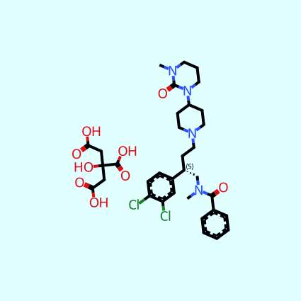 CN(C[C@@H](CCN1CCC(N2CCCN(C)C2=O)CC1)c1ccc(Cl)c(Cl)c1)C(=O)c1ccccc1.O=C(O)CC(O)(CC(=O)O)C(=O)O